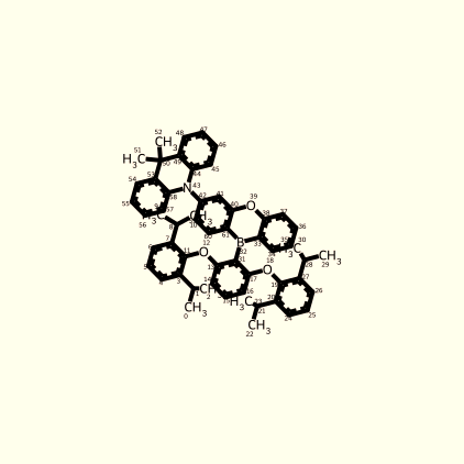 CC(C)c1cccc(C(C)C)c1Oc1cccc(Oc2c(C(C)C)cccc2C(C)C)c1B1c2ccccc2Oc2cc(N3c4ccccc4C(C)(C)c4ccccc43)ccc21